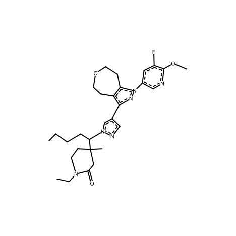 CCCCC(n1cc(-c2nn(-c3cnc(OC)c(F)c3)c3c2CCOCC3)cn1)C1(C)CCN(CC)C(=O)C1